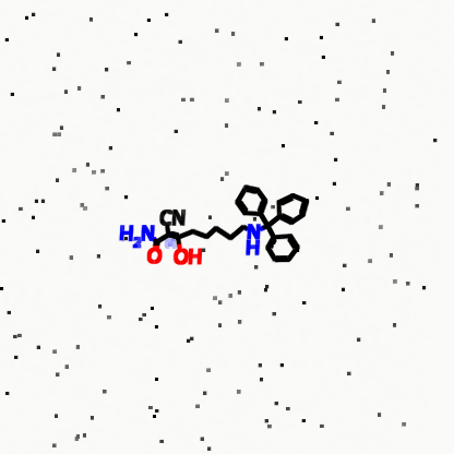 N#C/C(C(N)=O)=C(/O)CCCCCNC(c1ccccc1)(c1ccccc1)c1ccccc1